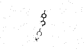 CC(C)(F)CN1CCC(COc2ccc(-c3ccc(C(=O)O)cc3F)cn2)CC1